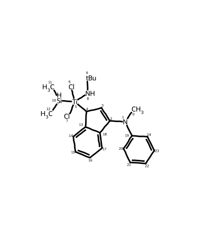 CN(C1=C[CH]([Ti]([Cl])([Cl])([NH]C(C)(C)C)[SiH](C)C)c2ccccc21)c1ccccc1